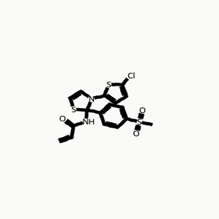 C=CC(=O)NC1(c2ccc(S(C)(=O)=O)cc2)SC=CN1c1ccc(Cl)s1